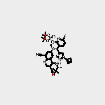 Cc1nc(F)ccc1[C@@H](c1cn(C23CC(C2)C3)nn1)N(COP(=O)(OC(C)(C)C)OC(C)(C)C)c1cc(C#N)c2ncc(C#N)c(N[C@H](C)C(C)(C)C)c2c1